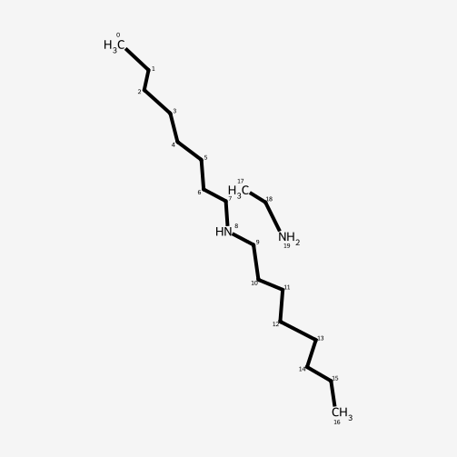 CCCCCCCCNCCCCCCCC.CCN